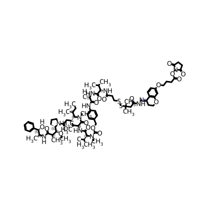 CC[C@H](C)[C@@H](CCC(=O)N1CCC[C@H]1[C@H](OC)[C@@H](C)C(=O)N[C@H](C)[C@@H](O)c1ccccc1)N(C)C(=O)[C@@H](NC(=O)[C@H](C(C)C)N(C)C(=O)OCc1ccc(NC(=O)[C@H](C)NC(=O)[C@@H](NC(=O)CCSSC(C)(C)CC(=O)N/N=C2\CCOc3cc(OCCCC(=O)ON4C(=O)CCC4=O)ccc32)C(C)C)cc1)C(C)C